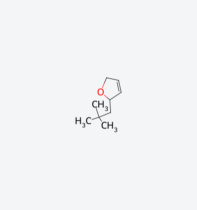 CC(C)(C)CC1C=CCO1